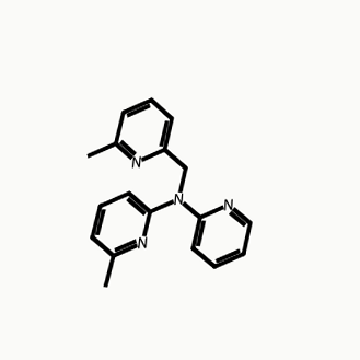 Cc1cccc(CN(c2ccccn2)c2cccc(C)n2)n1